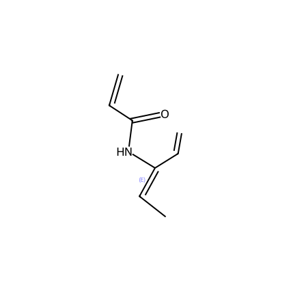 C=CC(=O)N/C(C=C)=C/C